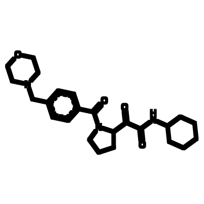 O=C(NC1CCCCC1)C(=O)C1CCCN1C(=O)c1ccc(CN2CCOCC2)cc1